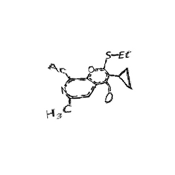 CCSc1oc2c(C(C)=O)nc(C)cc2c(=O)c1C1CC1